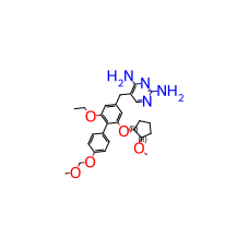 CCOc1cc(Cc2cnc(N)nc2N)cc(O[C@@H]2CCC[C@H]2OC)c1-c1ccc(OCOC)cc1